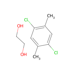 Cc1cc(Cl)c(C)cc1Cl.OCCO